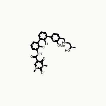 COc1nc(-c2cccc(-c3cccc(NC(=O)c4cn(C)c(=O)n(C)c4=O)c3Cl)c2Cl)ccc1CNC[C@@H](C)O